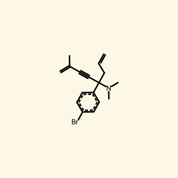 C=CCC(C#CC(=C)C)(c1ccc(Br)cc1)N(C)C